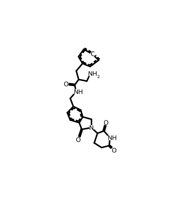 NCC(Cc1ccccc1)C(=O)NCc1ccc2c(c1)CN(C1CCC(=O)NC1=O)C2=O